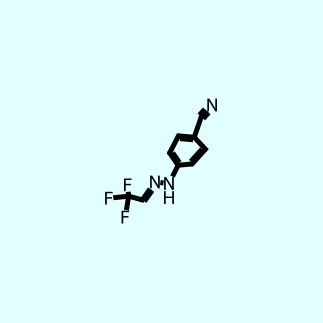 N#Cc1ccc(N/N=C/C(F)(F)F)cc1